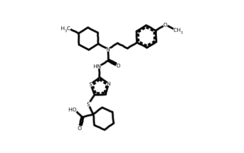 COc1ccc(CCN(C(=O)Nc2ncc(SC3(C(=O)O)CCCCC3)s2)C2CCC(C)CC2)cc1